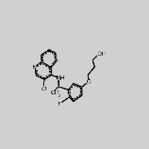 CC(Nc1c(Cl)cnc2ccccc12)c1cc(OCCCO)ccc1F